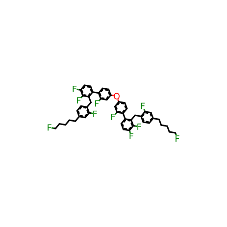 FCCCCCc1ccc(Cc2c(-c3ccc(Oc4ccc(-c5ccc(F)c(F)c5Cc5ccc(CCCCCF)cc5F)c(F)c4)cc3F)ccc(F)c2F)c(F)c1